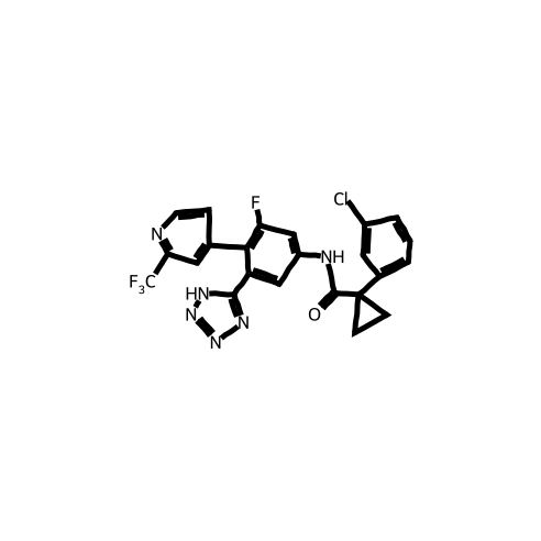 O=C(Nc1cc(F)c(-c2ccnc(C(F)(F)F)c2)c(-c2nnn[nH]2)c1)C1(c2cccc(Cl)c2)CC1